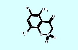 Cc1cc(Br)c(C)c2c1OS(=O)(=O)CC2=O